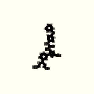 CC(C)(C)c1cc(NC(=O)Nc2ccc(Oc3ccncc3)cc2)n(-c2cccc(N(CCO)CCO)c2)n1